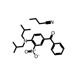 CC(C)CN(CC(C)C)c1ccc(C(=O)c2ccccc2)cc1[N+](=O)[O-].CCCC#N